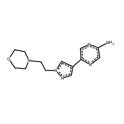 Nc1cnc(-c2cnn(CCN3CCOCC3)c2)cn1